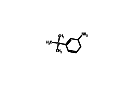 C[Si](C)(C)C1=CC(N)CC=C1